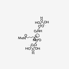 CNC(=O)CCCCC(=O)N1C[C@H](C(=O)NCCO[C@@H]2O[C@@H](C)[C@@H](O)[C@@H](O)[C@@H]2O)CC[C@@H]1C(=O)NCCO[C@@H]1O[C@@H](C)[C@@H](O)[C@@H](O)[C@@H]1O